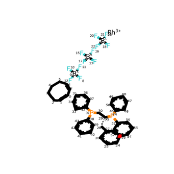 C1=CCCCCC=C1.F[B-](F)(F)F.F[B-](F)(F)F.F[B-](F)(F)F.[Rh+3].c1ccc(C[C@H](CP(c2ccccc2)c2ccccc2)P(c2ccccc2)c2ccccc2)cc1